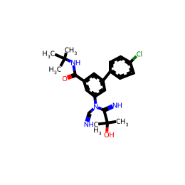 CC(C)(C)NC(=O)c1cc(-c2ccc(Cl)cc2)cc(N(C=N)C(=N)C(C)(C)O)c1